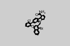 NC(=O)c1cccc2c1c1[c]cc(-c3c(Cl)cccc3Cl)cc1n2Cc1ccc2ccccc2c1Br